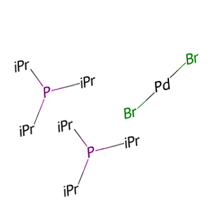 CC(C)P(C(C)C)C(C)C.CC(C)P(C(C)C)C(C)C.[Br][Pd][Br]